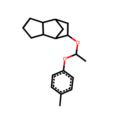 Cc1ccc(OC(C)OC2CC3CC2C2CCCC32)cc1